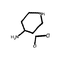 ClCCl.NC1CCNCC1